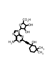 CC1(C)CCCC(O)(C#Cc2nc(N)c3ncn(C4OC(C(=O)O)C(O)C4O)c3n2)C1